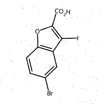 O=C(O)c1oc2ccc(Br)cc2c1I